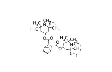 CN1C(C)(C)CC(OC(=O)C2C3C=CC(C3)C2C(=O)OC2CC(C)(C)N(C)C(C)(C)C2)CC1(C)C